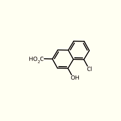 O=C(O)c1cc(O)c2c(Cl)cccc2c1